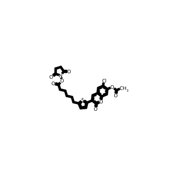 CC(=O)Oc1cc2oc(=O)c(-c3ccc(CCCCCC(=O)ON4C(=O)CCC4=O)s3)cc2cc1Cl